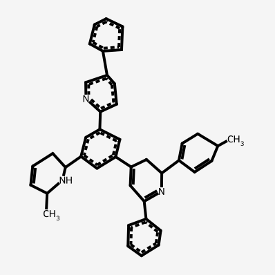 CC1C=CC(C2CC(c3cc(-c4ccc(-c5ccccc5)cn4)cc(C4CC=CC(C)N4)c3)=CC(c3ccccc3)=N2)=CC1